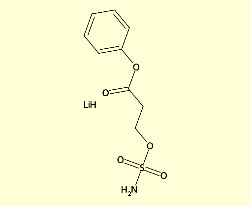 NS(=O)(=O)OCCC(=O)Oc1ccccc1.[LiH]